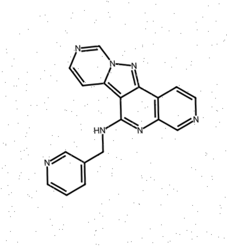 c1cncc(CNc2nc3cnccc3c3nn4cnccc4c23)c1